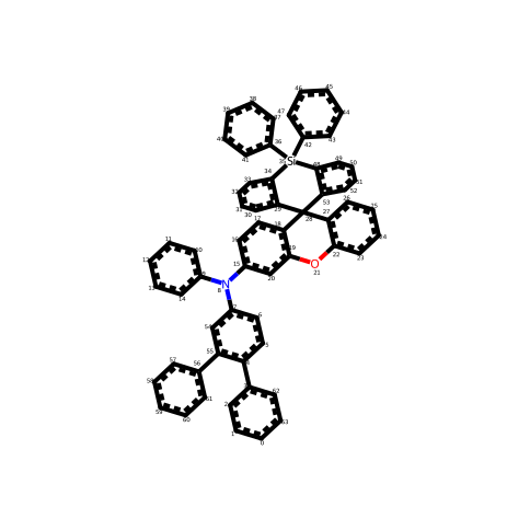 c1ccc(-c2ccc(N(c3ccccc3)c3ccc4c(c3)Oc3ccccc3C43c4ccccc4[Si](c4ccccc4)(c4ccccc4)c4ccccc43)cc2-c2ccccc2)cc1